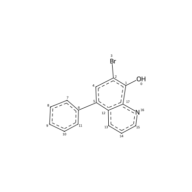 Oc1c(Br)cc(-c2ccccc2)c2cccnc12